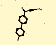 CCCCC#CC(=O)c1ccc(-c2ccc(F)cc2)cc1